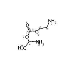 CC(N)O[PH](=O)OCCN